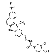 COc1cc(/C=N/NC(=O)c2ccc(O)c(Cl)c2)ccc1NC(=O)/C=C\c1cccc(C(F)(F)F)c1